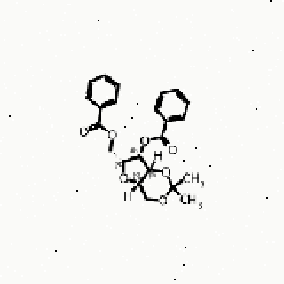 CC1(C)OC[C@@H]2O[C@H](COC(=O)c3ccccc3)[C@@H](OC(=O)c3ccccc3)[C@@H]2O1